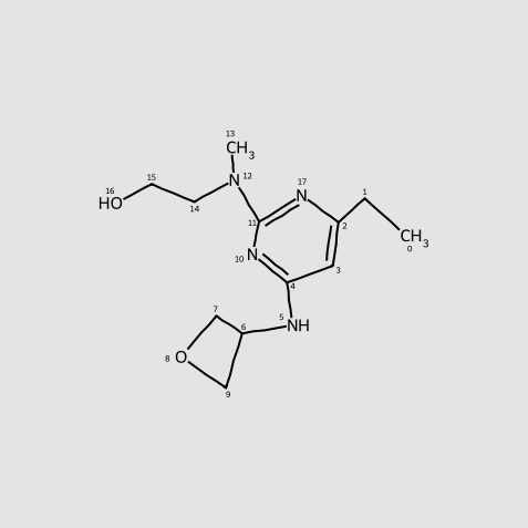 CCc1cc(NC2COC2)nc(N(C)CCO)n1